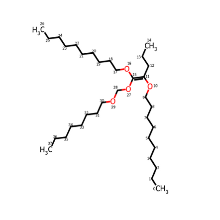 CCCCCCCCCCOC(CCC)=C(OCCCCCCCCCC)OCOCCCCCCCC